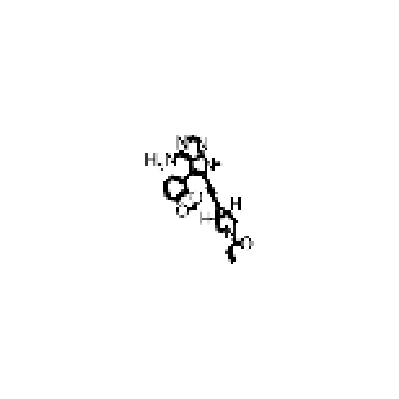 C=CC(=O)N1C[C@@H]2C(C#Cc3c(-c4cccc5c4OCO5)c4c(N)ncnc4n3C)[C@@H]2C1